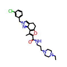 CCN1CCN(CCCNC(=O)c2oc3c(c2C)-c2nn(Cc4cccc(Cl)c4)cc2CC3)CC1